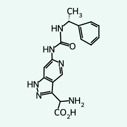 C[C@@H](NC(=O)Nc1cc2[nH]nc(C(N)C(=O)O)c2cn1)c1ccccc1